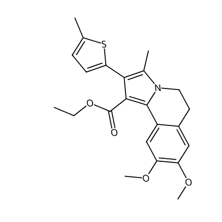 CCOC(=O)c1c(-c2ccc(C)s2)c(C)n2c1-c1cc(OC)c(OC)cc1CC2